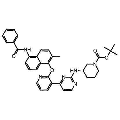 Cc1ccc2c(NC(=O)c3ccccc3)cccc2c1Oc1ncccc1-c1ccnc(N[C@H]2CCCN(C(=O)OC(C)(C)C)C2)n1